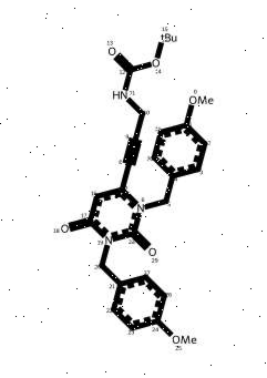 COc1ccc(Cn2c(C#CCNC(=O)OC(C)(C)C)cc(=O)n(Cc3ccc(OC)cc3)c2=O)cc1